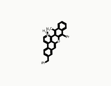 Cc1c2c(c(C(C)C)c3ccccc13)Oc1cc3cc(CC(C)C)ccc3c3cc[n+](C)c-2c13